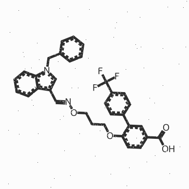 O=C(O)c1ccc(OCCCO/N=C/c2cn(Cc3ccccc3)c3ccccc23)c(-c2ccc(C(F)(F)F)cc2)c1